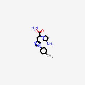 CC1CCC(n2cnc(CC(C(=O)ON)N3CC[C@H](N)C3)c2)CC1